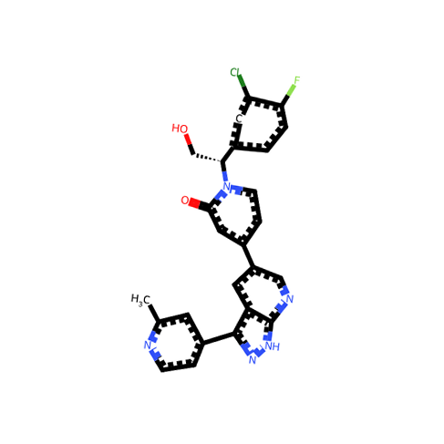 Cc1cc(-c2n[nH]c3ncc(-c4ccn([C@H](CO)c5ccc(F)c(Cl)c5)c(=O)c4)cc23)ccn1